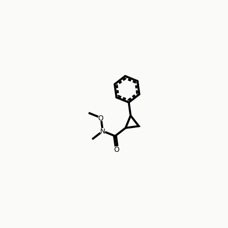 CON(C)C(=O)C1CC1c1ccccc1